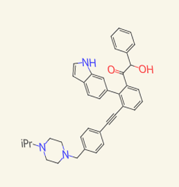 CC(C)N1CCN(Cc2ccc(C#Cc3cccc(C(=O)C(O)c4ccccc4)c3-c3ccc4cc[nH]c4c3)cc2)CC1